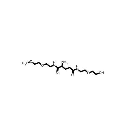 COCCOCCNC(=O)C(N)CCC(=O)NCCOCCO